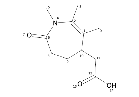 CC1=C(C)N(C)C(=O)CCC1CC(=O)O